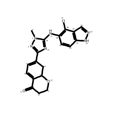 Cn1nc(C2=CC=C3C(=O)CCOC3C2)nc1Nc1ccc2[nH]ncc2c1Cl